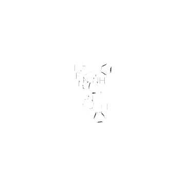 O=C(c1cnn2c1N[C@@H](c1ccccc1)C[C@H]2C(F)(F)F)N1CCSC(c2ccccc2Cl)C1